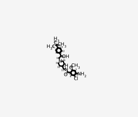 COc1cc(N)c(Cl)cc1C(=O)NCC1CCN(CC(O)c2ccc(C(C)(C)C)cc2)CC1